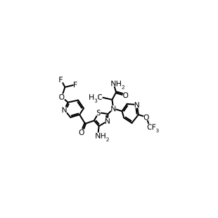 CC(C(N)=O)N(c1ccc(OC(F)(F)F)nc1)c1nc(N)c(C(=O)c2ccc(OC(F)F)nc2)s1